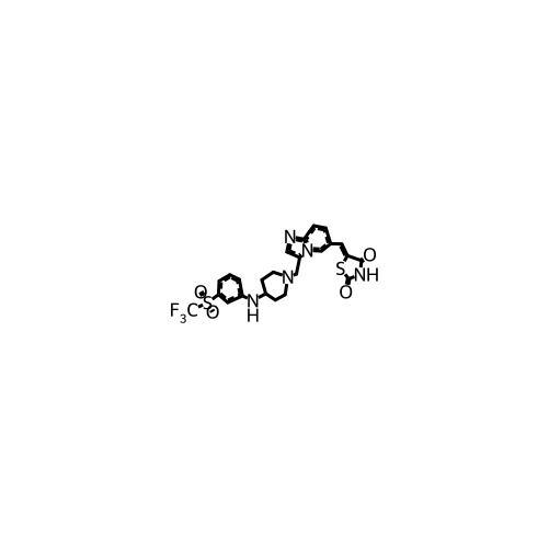 O=C1NC(=O)C(=Cc2ccc3ncc(CN4CCC(Nc5cccc(S(=O)(=O)C(F)(F)F)c5)CC4)n3c2)S1